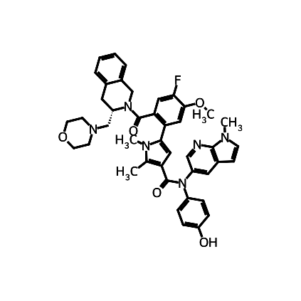 COc1cc(-c2cc(C(=O)N(c3ccc(O)cc3)c3cnc4c(ccn4C)c3)c(C)n2C)c(C(=O)N2Cc3ccccc3C[C@H]2CN2CCOCC2)cc1F